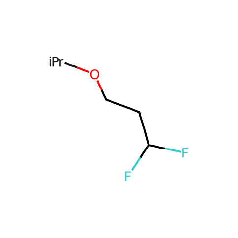 CC(C)OCCC(F)F